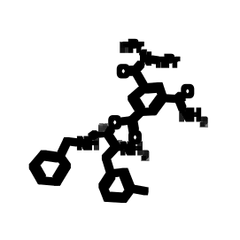 CCCN(CCC)C(=O)c1cc(C(N)=O)cc(C(=O)O[C@H](CNCc2ccccc2)[C@@H](N)Cc2cccc(C)c2)c1